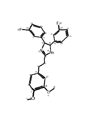 COc1ccc(CCC2=NC(c3cccc(F)c3)C(c3cccc(F)c3)N2)cc1OC